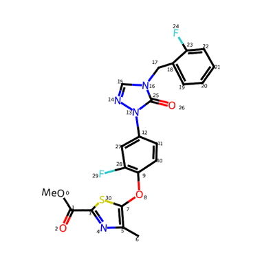 COC(=O)c1nc(C)c(Oc2ccc(-n3ncn(Cc4ccccc4F)c3=O)cc2F)s1